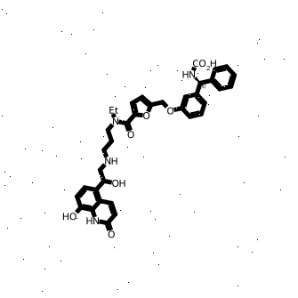 CCN(CCCNCC(O)c1ccc(O)c2[nH]c(=O)ccc12)C(=O)c1ccc(COc2cccc([C@@H](NC(=O)O)c3ccccc3)c2)o1